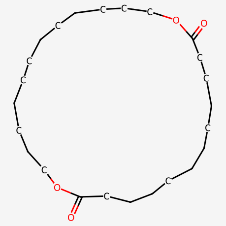 O=C1CCCCCCCCCCC(=O)OCCCCCCCCCCCCO1